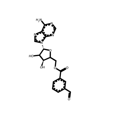 Nc1ncnc2c1ncn2[C@@H]1OC(COC(=O)c2cccc(C=O)c2)[C@@H](O)C1O